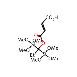 CCC(OC(=O)C=CC(=O)O)([Si](OC)(OC)OC)[Si](OC)(OC)OC